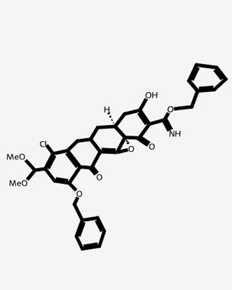 COC(OC)c1cc(OCc2ccccc2)c2c(c1Cl)CC1C[C@H]3CC(O)=C(C(=N)OCc4ccccc4)C(=O)[C@]34OC4=C1C2=O